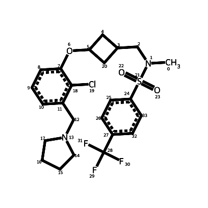 CN(CC1CC(Oc2cccc(CN3CCCC3)c2Cl)C1)S(=O)(=O)c1ccc(C(F)(F)F)cc1